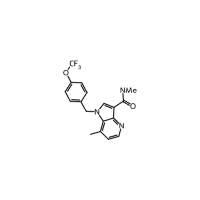 CNC(=O)c1cn(Cc2ccc(OC(F)(F)F)cc2)c2c(C)ccnc12